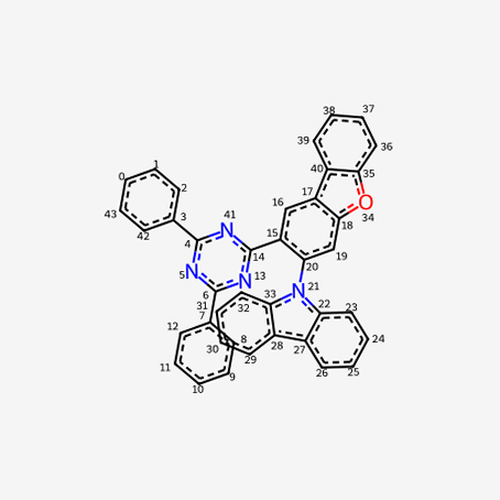 c1ccc(-c2nc(-c3ccccc3)nc(-c3cc4c(cc3-n3c5ccccc5c5ccccc53)oc3ccccc34)n2)cc1